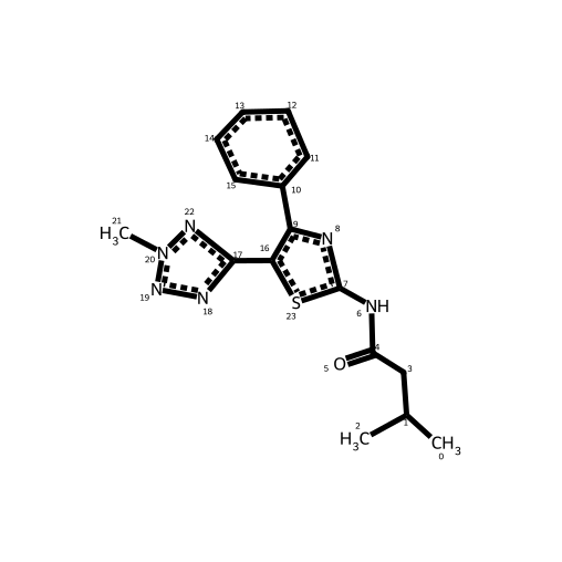 CC(C)CC(=O)Nc1nc(-c2ccccc2)c(-c2nnn(C)n2)s1